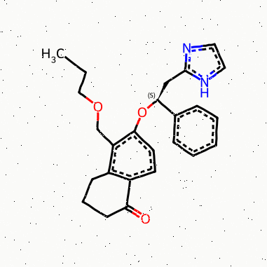 CCCOCc1c(O[C@@H](Cc2ncc[nH]2)c2ccccc2)ccc2c1CCCC2=O